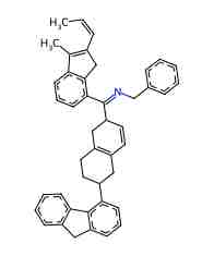 C/C=C\C1=C(C)c2cccc(/C(=N/Cc3ccccc3)C3C=CC4=C(CCC(c5cccc6c5-c5ccccc5C6)C4)C3)c2C1